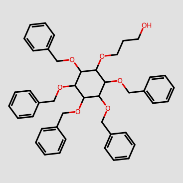 OCCCOC1C(OCc2ccccc2)C(OCc2ccccc2)C(OCc2ccccc2)C(OCc2ccccc2)C1OCc1ccccc1